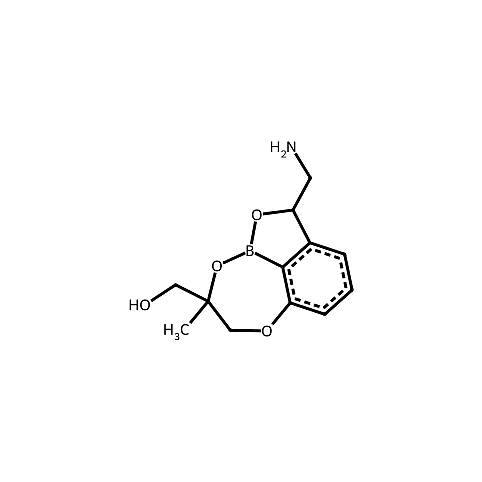 CC1(CO)COc2cccc3c2B(OC3CN)O1